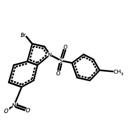 Cc1ccc(S(=O)(=O)n2cc(Br)c3ccc([N+](=O)[O-])cc32)cc1